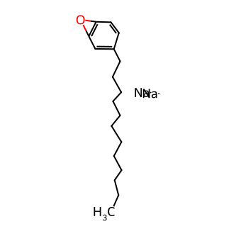 CCCCCCCCCCCCc1ccc2c(c1)O2.[Na].[Na]